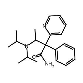 CC(C)N(C(C)C)C(C)C(C(N)=O)(c1ccccc1)c1ccccn1